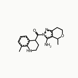 Cc1cccc2c1NCCC2C(=O)n1nc2c(c1N)C(C)OCC2